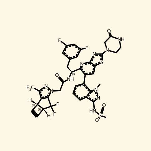 Cn1nc(NS(C)(=O)=O)c2cccc(-c3cc4sc(N5CCNC(=O)C5)nc4nc3[C@H](Cc3cc(F)cc(F)c3)NC(=O)Cn3nc(C(F)(F)F)c4c3C(F)(F)[C@@H]3C#C[C@H]43)c21